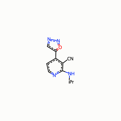 CC(C)Nc1nccc(-c2cnno2)c1C#N